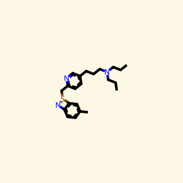 CCCN(CCC)CCCc1ccc(CS2=Nc3ccc(C)cc32)nc1